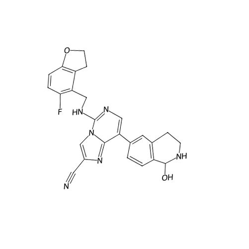 N#Cc1cn2c(NCc3c(F)ccc4c3CCO4)ncc(-c3ccc4c(c3)CCNC4O)c2n1